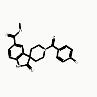 COC(=O)c1ccc2c(c1)C1(CCN(C(=O)c3ccc(Cl)cc3)CC1)C(=O)N2